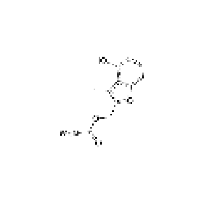 CNC(=O)OCc1oc2cccc(O)c2c1C